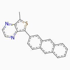 Cc1sc(-c2ccc3cc4ccccc4cc3c2)c2nccnc12